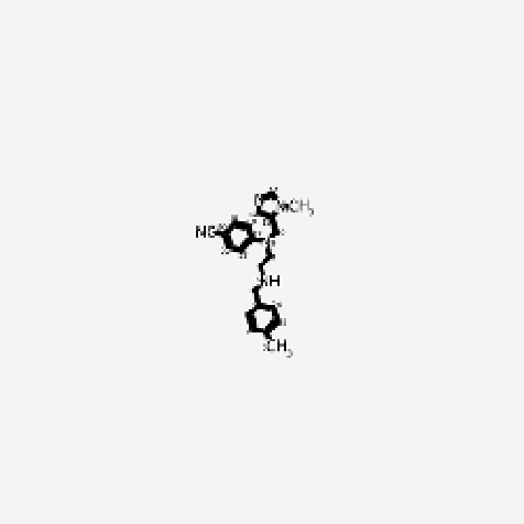 Cc1ccc(CNCCN(Cc2cncn2C)c2ccc(C#N)cc2)cc1